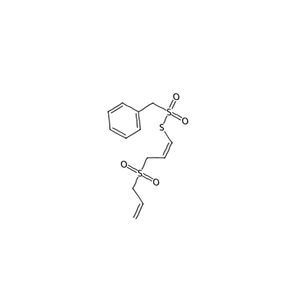 C=CCS(=O)(=O)C/C=C\SS(=O)(=O)Cc1ccccc1